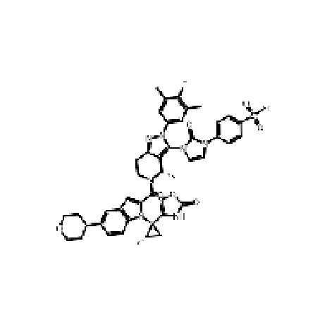 CCS(=O)(=O)c1ccc(-n2ccn(-c3c4c(nn3-c3cc(C)c(F)c(C)c3)CCN(C(=O)c3cc5cc(C6CCOCC6)ccc5n3[C@@]3(c5noc(=O)[nH]5)C[C@@H]3C)[C@H]4C)c2=O)cc1